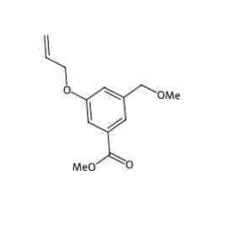 C=CCOc1cc(COC)cc(C(=O)OC)c1